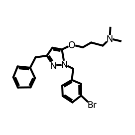 CN(C)CCCOc1cc(Cc2ccccc2)nn1Cc1cccc(Br)c1